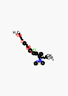 C=CC(=O)OCCCCOc1ccc(CCC(=O)Oc2ccc(-c3ccc4cc(-c5cc(/C=N/N(c6nc7ccccc7s6)C6CCCCC6)c(CCCC(CC)CC)c6ccccc56)ccc4c3Cl)cc2)cc1